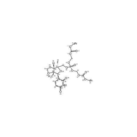 CC(C)OC(=O)OCOP(=O)(OCOC(=O)OC(C)C)OC[C@@]1(F)O[C@@H](n2ccc(=O)[nH]c2=O)[C@]2(C)OSO[C@@H]21